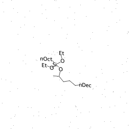 CCCCCCCCCCCCCC(C)O[Si](CCCCCCCC)(OCC)OCC